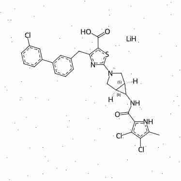 Cc1[nH]c(C(=O)NC2[C@H]3CN(c4nc(Cc5cccc(-c6cccc(Cl)c6)c5)c(C(=O)O)s4)C[C@@H]23)c(Cl)c1Cl.[LiH]